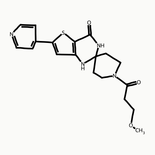 COCCC(=O)N1CCC2(CC1)NC(=O)c1sc(-c3ccncc3)cc1N2